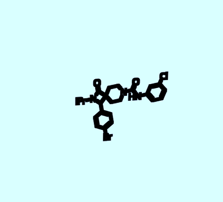 CC(C)N1C(=O)C2(CCN(C(=O)Nc3cccc(Cl)c3)CC2)C1c1ccc(Br)cc1